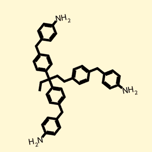 CCC(CCc1ccc(Cc2ccc(N)cc2)cc1)(c1ccc(Cc2ccc(N)cc2)cc1)c1ccc(Cc2ccc(N)cc2)cc1